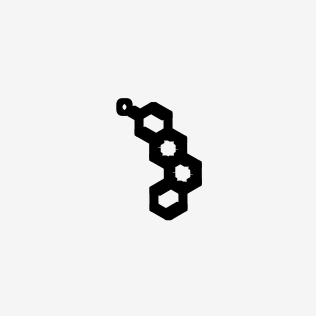 O=C1C=Cc2cc3ccc4c(c3cc2=C1)=CCC=C4